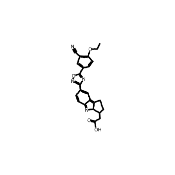 CCOc1ccc(-c2nc(-c3ccc4c(c3)=C3CCC(CC(=O)O)C3N=4)no2)cc1C#N